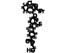 Cc1cccc(Cl)c1-c1noc(C(C)C)c1COc1ccc(N(C)Cc2ccc(C(=O)OCCO)cc2)c(CF)n1